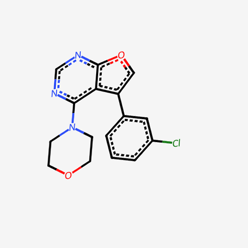 Clc1cccc(-c2coc3ncnc(N4CCOCC4)c23)c1